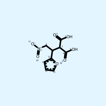 O=C(O)C(C(=O)O)C(C[N+](=O)[O-])c1ccco1